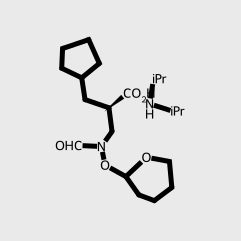 CC(C)NC(C)C.O=CN(C[C@@H](CC1CCCC1)C(=O)O)OC1CCCCO1